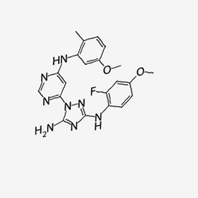 COc1ccc(Nc2nc(N)n(-c3cc(Nc4cc(OC)ccc4C)ncn3)n2)c(F)c1